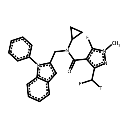 Cn1nc(C(F)F)c(C(=O)N(Cc2cc3ccccc3n2-c2ccccc2)C2CC2)c1F